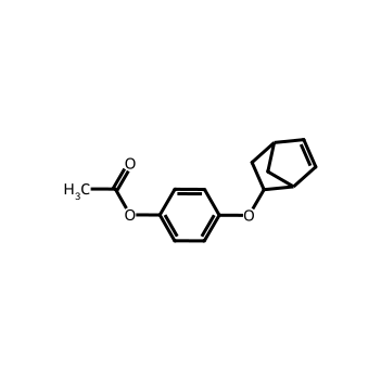 CC(=O)Oc1ccc(OC2CC3C=CC2C3)cc1